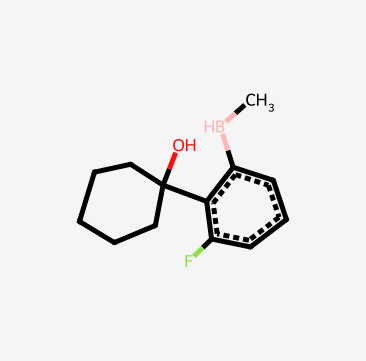 CBc1cccc(F)c1C1(O)CCCCC1